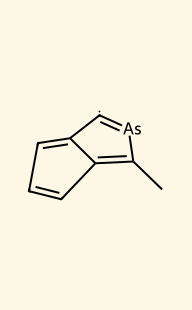 CC1=C2C=CC=C2[C]=[As]1